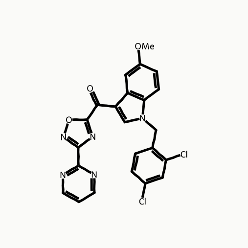 COc1ccc2c(c1)c(C(=O)c1nc(-c3ncccn3)no1)cn2Cc1ccc(Cl)cc1Cl